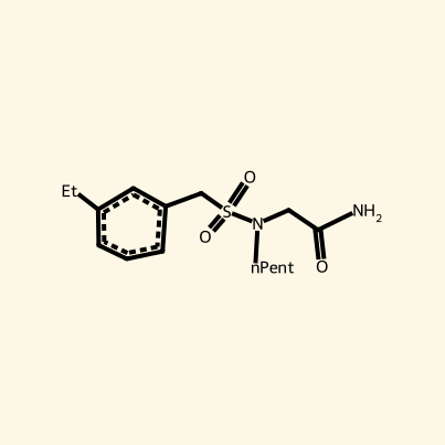 CCCCCN(CC(N)=O)S(=O)(=O)Cc1cccc(CC)c1